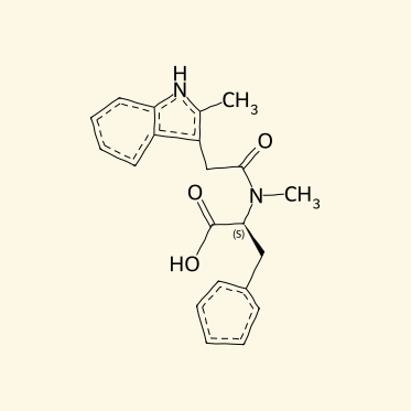 Cc1[nH]c2ccccc2c1CC(=O)N(C)[C@@H](Cc1ccccc1)C(=O)O